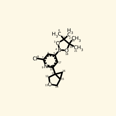 CC1(C)OB(c2cc(Cl)nc(C34COCC3C4)c2)OC1(C)C